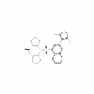 Cc1noc(C)c1-c1cc(S(=O)(=O)N(C2CCCC2)[C@@H]2CCC[C@@H]2C(N)=O)c2cccnc2c1